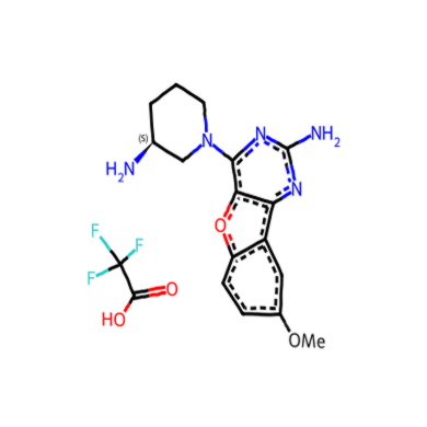 COc1ccc2oc3c(N4CCC[C@H](N)C4)nc(N)nc3c2c1.O=C(O)C(F)(F)F